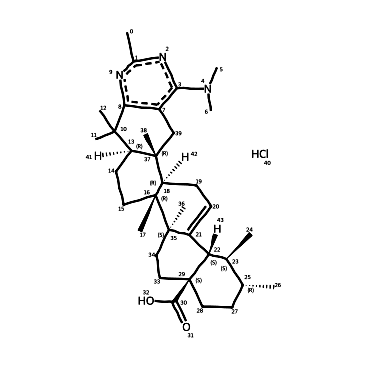 Cc1nc(N(C)C)c2c(n1)C(C)(C)[C@@H]1CC[C@]3(C)[C@H](CC=C4[C@@H]5[C@@H](C)[C@H](C)CC[C@]5(C(=O)O)CC[C@]43C)[C@@]1(C)C2.Cl